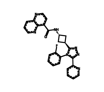 O=C(N[C@H]1C[C@H](c2nnc(-c3ccccn3)n2-c2ccccc2F)C1)c1ccnc2cccnc12